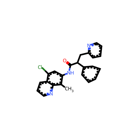 Cc1c(NC(=O)C(Cc2ccccn2)c2ccccc2)cc(Cl)c2cccnc12